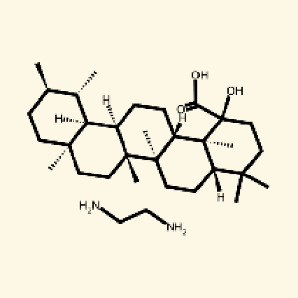 C[C@@H]1[C@H]2[C@H]3CC[C@@H]4[C@]5(C)[C@@H](CC[C@@]4(C)[C@]3(C)CC[C@@]2(C)CC[C@H]1C)C(C)(C)CCC5(O)C(=O)O.NCCN